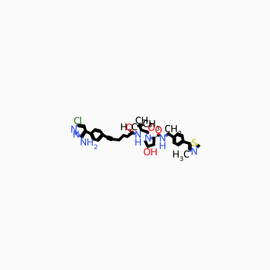 Cc1ncsc1-c1ccc([C@H](C)NC(=O)[C@@H]2C[C@@H](O)CN2C(=O)[C@@H](NC(=O)CCCC#Cc2ccc(-c3cc(Cl)nnc3N)cc2)C(C)(C)C)cc1